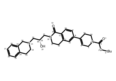 CC(C)(C)OC(=O)N1CC=C(c2ccc3c(c2)CCN(C[C@H](O)CN2CCc4ccccc4C2)C3=O)CC1